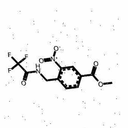 COC(=O)c1ccc(CNC(=O)C(F)(F)F)c([N+](=O)[O-])c1